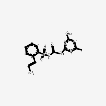 COc1nc(C)nc(NC(=O)NS(=O)(=O)c2ccccc2/C=C/C(F)(F)F)n1